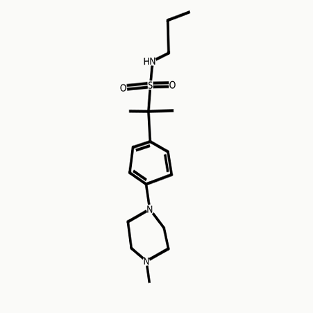 CCCNS(=O)(=O)C(C)(C)c1ccc(N2CCN(C)CC2)cc1